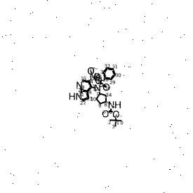 CC(C)(C)OC(=O)N[C@@H]1CC[C@@H](N(c2c([N+](=O)[O-])cnc3[nH]ccc23)S(=O)(=O)c2ccccc2)C1